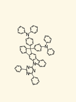 c1ccc(-c2nc(-c3ccccc3)nc(-n3c4ccccc4c4cc5c(cc43)-c3ccccc3C5(c3ccc(N(c4ccccc4)c4ccccc4)cc3)c3ccc(N(c4ccccc4)c4ccccc4)cc3)n2)cc1